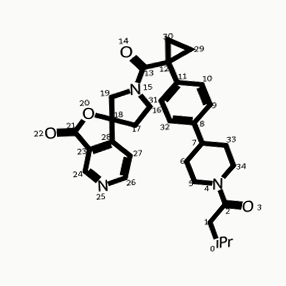 CC(C)CC(=O)N1CCC(c2ccc(C3(C(=O)N4CCC5(C4)OC(=O)c4cnccc45)CC3)cc2)CC1